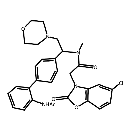 CC(=O)Nc1ccccc1-c1ccc(C(CN2CCOCC2)N(C)C(=O)Cn2c(=O)oc3ccc(Cl)cc32)cc1